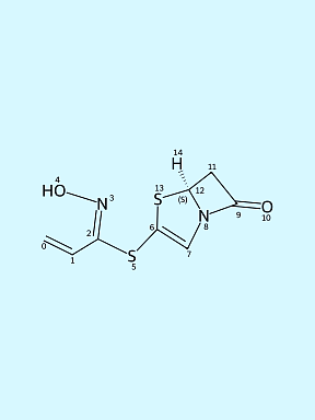 C=CC(=NO)SC1=CN2C(=O)C[C@@H]2S1